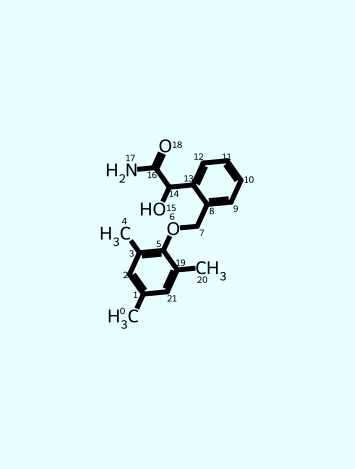 Cc1cc(C)c(OCc2ccccc2C(O)C(N)=O)c(C)c1